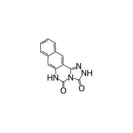 O=c1[nH]nc2c3cc4ccccc4cc3[nH]c(=O)n12